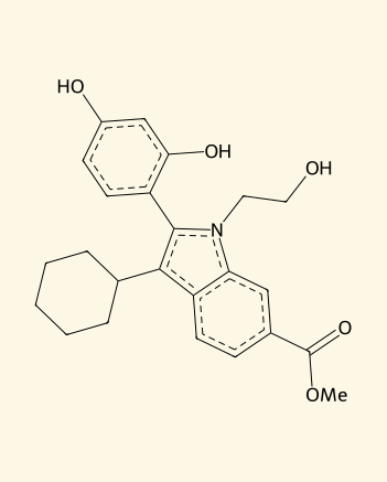 COC(=O)c1ccc2c(C3CCCCC3)c(-c3ccc(O)cc3O)n(CCO)c2c1